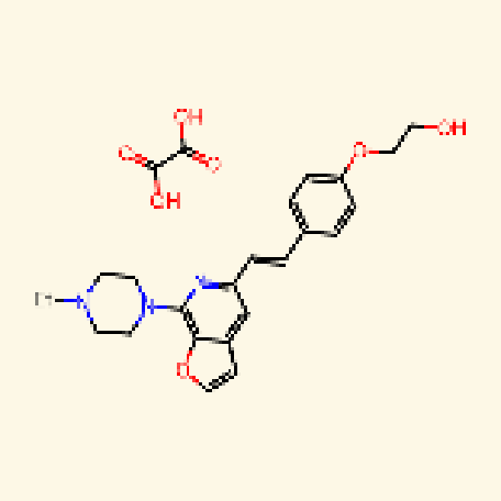 CCN1CCN(c2nc(C=Cc3ccc(OCCO)cc3)cc3ccoc23)CC1.O=C(O)C(=O)O